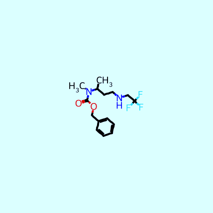 CC(CCNCC(F)(F)F)N(C)C(=O)OCc1ccccc1